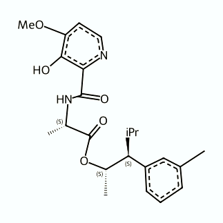 COc1ccnc(C(=O)N[C@@H](C)C(=O)O[C@@H](C)[C@H](c2cccc(C)c2)C(C)C)c1O